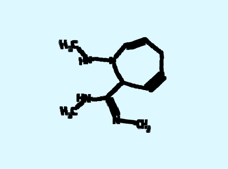 C/N=C(/NC)C1C#CCC=CN1NC